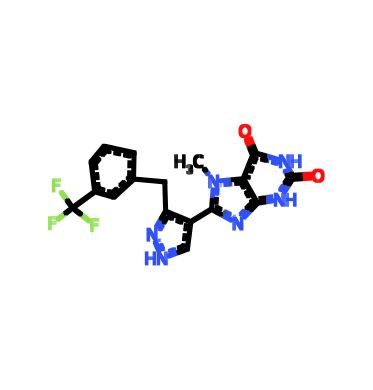 Cn1c(-c2c[nH]nc2Cc2cccc(C(F)(F)F)c2)nc2[nH]c(=O)[nH]c(=O)c21